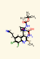 CSc1nc2c(F)c(Br)c(CCC#N)cc2c(C2C3CC(NC(=O)OC(C)(C)C)(C3)N2C(=O)O)c1N